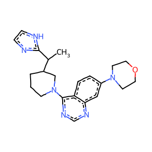 CC(c1ncc[nH]1)C1CCCN(c2ncnc3cc(N4CCOCC4)ccc23)C1